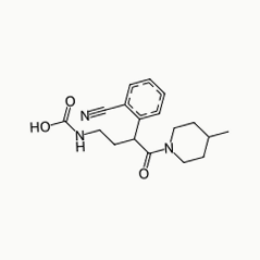 CC1CCN(C(=O)C(CCNC(=O)O)c2ccccc2C#N)CC1